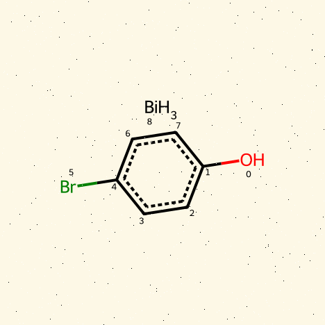 Oc1ccc(Br)cc1.[BiH3]